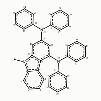 Cn1c2ccccc2c2c(N(c3ccccc3)c3ccccc3)cc(N(c3ccccc3)c3ccccc3)cc21